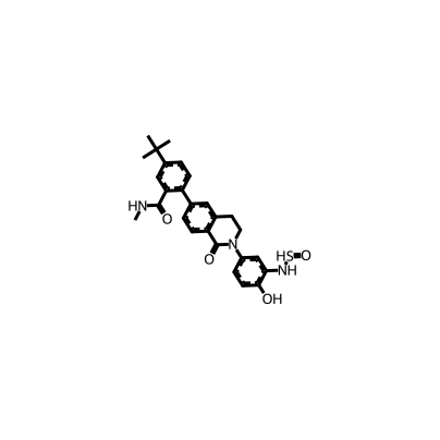 CNC(=O)c1cc(C(C)(C)C)ccc1-c1ccc2c(c1)CCN(c1ccc(O)c(N[SH]=O)c1)C2=O